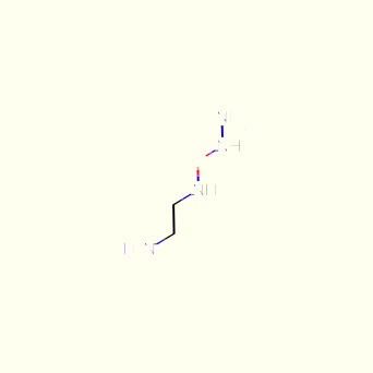 NCCNONN